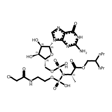 CCCC(CCC)COC(=O)[C@H](C)N(P(=O)(O)OCCNC(=O)CCl)P(=O)(O)OC[C@H]1O[C@@H](n2cnc3c(=O)[nH]c(N)nc32)[C@H](O)[C@@H]1O